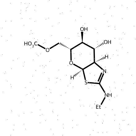 CCNC1=N[C@@H]2[C@@H](O)[C@H](O)[C@@H](COC(=O)O)O[C@@H]2S1